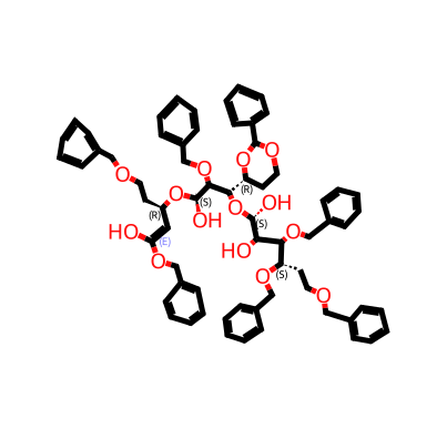 O/C(=C\[C@@H](CCOCc1ccccc1)O[C@H](O)C(OCc1ccccc1)C(O[C@H](O)C(O)C(OCc1ccccc1)[C@H](CCOCc1ccccc1)OCc1ccccc1)[C@H]1CCOC(c2ccccc2)O1)OCc1ccccc1